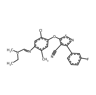 CCN(C)C=Nc1cc(Cl)c(Oc2snc(-c3cccc(F)c3)c2C#N)cc1C